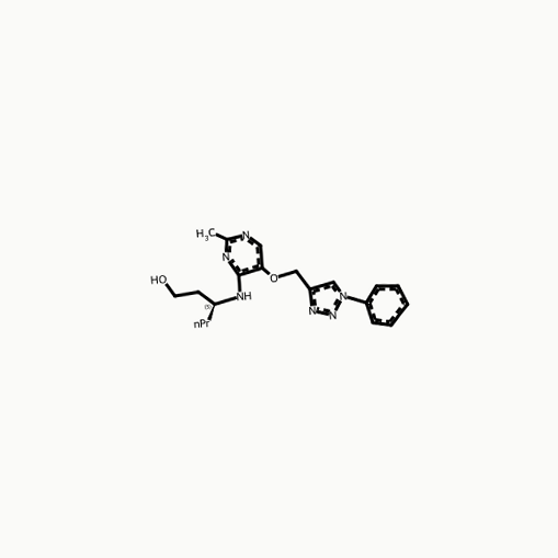 CCC[C@@H](CCO)Nc1nc(C)ncc1OCc1cn(-c2ccccc2)nn1